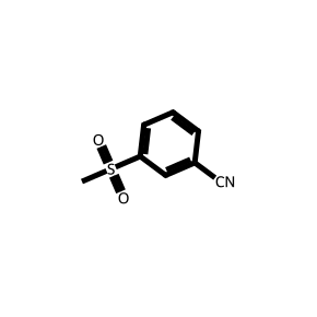 CS(=O)(=O)c1cccc(C#N)c1